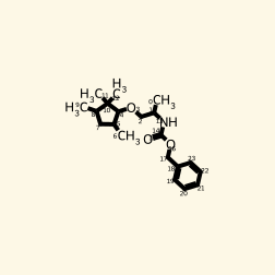 CC(COC1C(C)CC(C)C1(C)C)NC(=O)OCc1ccccc1